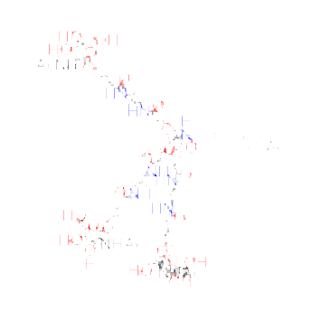 CC(=O)CCCCCCCCCCC(=O)NC(COCCC(=O)NCCCNC(=O)CCCCOC1OC(CO)C(O)C(O)C1NC(C)=O)(COCCC(=O)NCCCNC(=O)CCCCOC1OC(CO)C(O)C(O)C1NC(C)=O)COCCC(=O)NCCCNC(=O)CCCCOC(OC(CO)[C@H](C)O)[C@H](CO)NC(C)=O